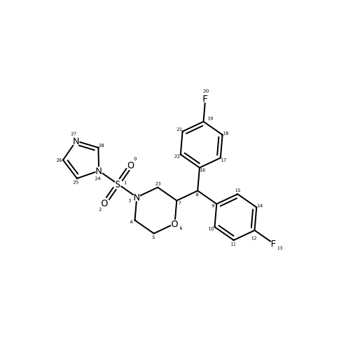 O=S(=O)(N1CCOC(C(c2ccc(F)cc2)c2ccc(F)cc2)C1)n1ccnc1